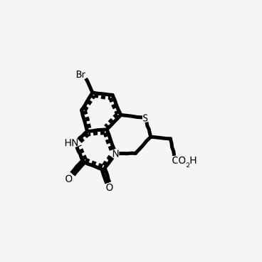 O=C(O)CC1Cn2c(=O)c(=O)[nH]c3cc(Br)cc(c32)S1